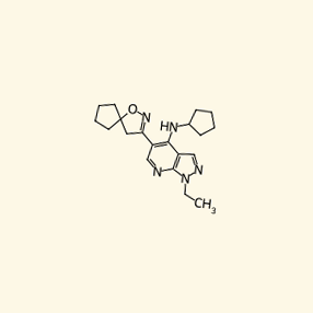 CCn1ncc2c(NC3CCCC3)c(C3=NOC4(CCCC4)C3)cnc21